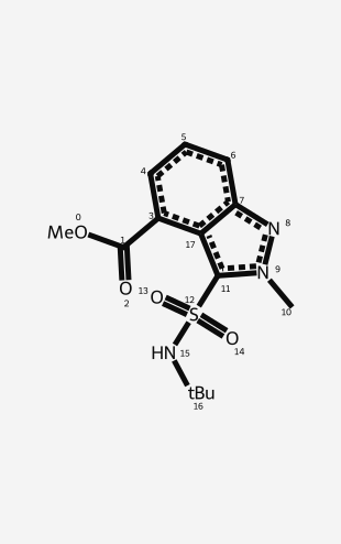 COC(=O)c1cccc2nn(C)c(S(=O)(=O)NC(C)(C)C)c12